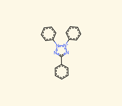 c1ccc(-c2nn(-c3ccccc3)[n+](-c3ccccc3)n2)cc1